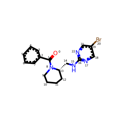 O=C(c1ccccc1)N1CCCC[C@H]1CNc1ncc(Br)cn1